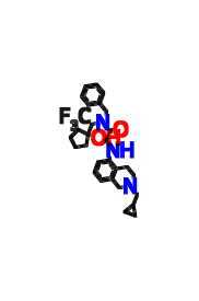 O=C(CNc1cccc2c1CCN(CC1CC1)C2)N(Cc1ccccc1C(F)(F)F)CC1(O)CCCC1